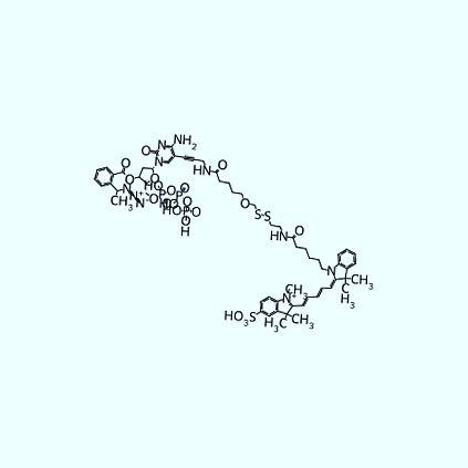 CC(N=[N+]=[N-])c1ccccc1C(=O)OC1C[C@H](n2cc(C#CCNC(=O)CCCCOCSSCCNC(=O)CCCCCN3\C(=C/C=C/C=C/C4=[N+](C)c5ccc(S(=O)(=O)O)cc5C4(C)C)C(C)(C)c4ccccc43)c(N)nc2=O)O[C@@H]1COP(=O)(O)OP(=O)(O)OP(=O)(O)O